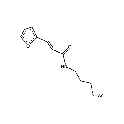 CC(=O)NCCCNC(=O)C=Cc1ccco1